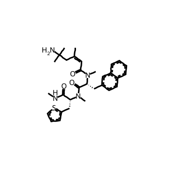 CNC(=O)[C@@H](Cc1cccs1)N(C)C(=O)[C@@H](Cc1ccc2ccccc2c1)N(C)C(=O)C=C(C)CC(C)(C)N